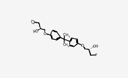 CC(C)(c1ccc(OC[C@H](O)CF)cc1)c1ccc(OC[C@@H](O)CCl)cc1